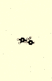 O=[N+]([O-])c1cc(F)ccc1NCc1ccc(Cl)c(Cl)c1